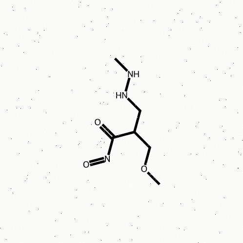 CNNCC(COC)C(=O)N=O